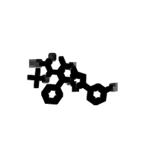 Cc1nc2cc(-c3cccc(Cl)c3)nn2c(-c2ccccc2)c1C(OC(C)(C)C)C(=O)O